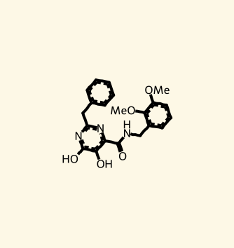 COc1cccc(CNC(=O)c2nc(Cc3ccccc3)nc(O)c2O)c1OC